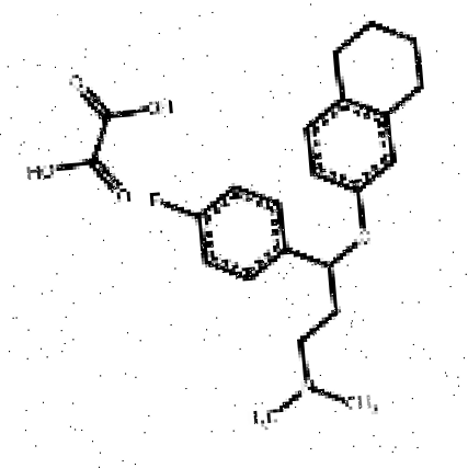 CN(C)CCC(Oc1ccc2c(c1)CCCC2)c1ccc(F)cc1.O=C(O)C(=O)O